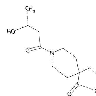 C[C@@H](O)CC(=O)N1CCC2(CCNC2=O)CC1